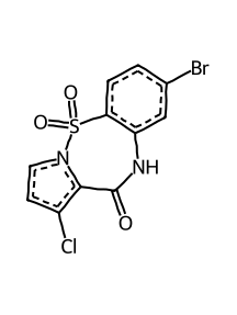 O=C1Nc2cc(Br)ccc2S(=O)(=O)n2ccc(Cl)c21